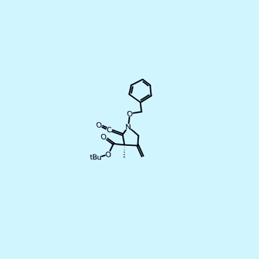 C=C1CN(OCc2ccccc2)C(=C=O)[C@]1(C)C(=O)OC(C)(C)C